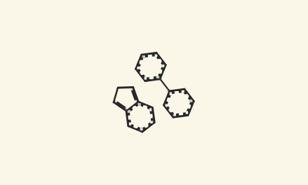 C1=c2ccccc2=CC1.c1ccc(-c2ccccc2)cc1